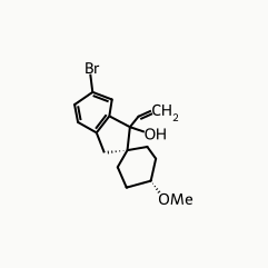 C=CC1(O)c2cc(Br)ccc2C[C@]12CC[C@@H](OC)CC2